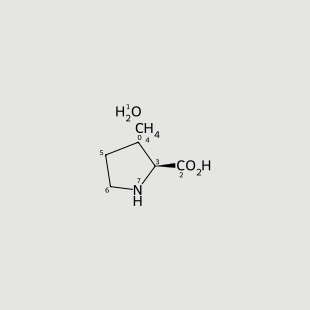 C.O.O=C(O)[C@@H]1CCCN1